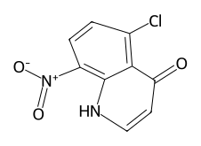 O=c1cc[nH]c2c([N+](=O)[O-])ccc(Cl)c12